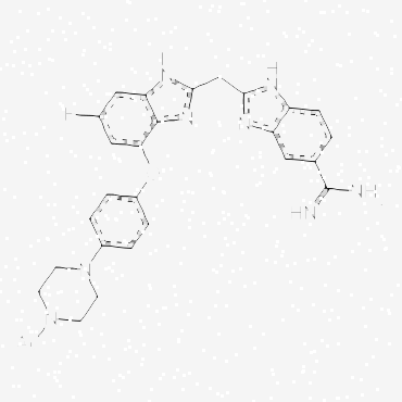 CC(=O)N1CCN(c2ccc(Oc3cc(F)cc4[nH]c(Cc5nc6cc(C(=N)N)ccc6[nH]5)nc34)cc2)CC1